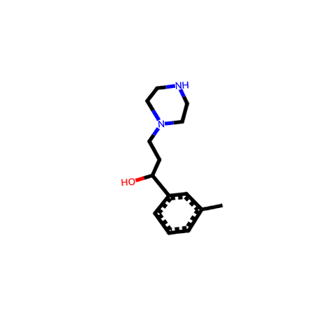 Cc1cccc(C(O)CCN2CCNCC2)c1